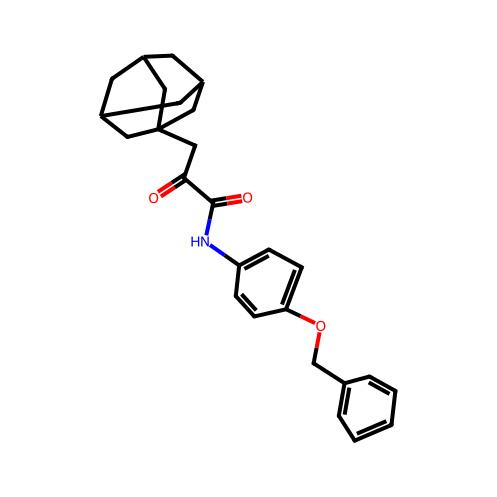 O=C(CC12CC3CC(CC(C3)C1)C2)C(=O)Nc1ccc(OCc2ccccc2)cc1